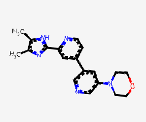 Cc1nc(-c2cc(-c3cncc(N4CCOCC4)c3)ccn2)[nH]c1C